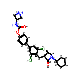 O=C(NC1CNC1)Oc1ccc(-c2cc(Cl)c(CC3CCN(C4CCCCC4)C3=O)c(Cl)c2)cc1